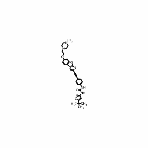 CN1CCN(CCOc2ccc3c(c2)sc2nc(C#Cc4ccc(NC(=O)Nc5cc(C(C)(C)C)on5)cc4)cn23)CC1